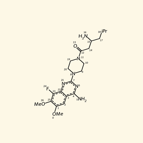 COc1cc2c(N)nc(N3CCN(C(=O)CC(N)CC(C)C)CC3)nc2c(F)c1OC